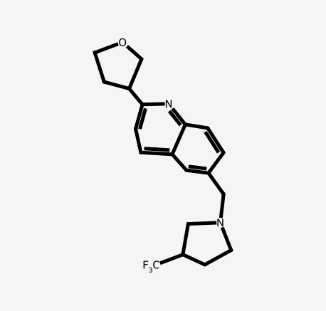 FC(F)(F)C1CCN(Cc2ccc3nc(C4CCOC4)ccc3c2)C1